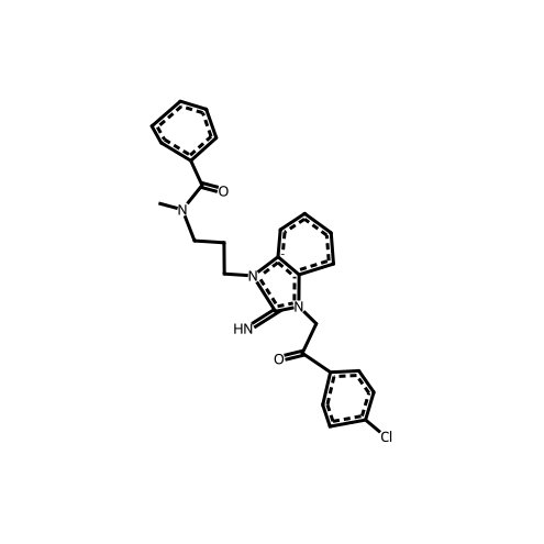 CN(CCCn1c(=N)n(CC(=O)c2ccc(Cl)cc2)c2ccccc21)C(=O)c1ccccc1